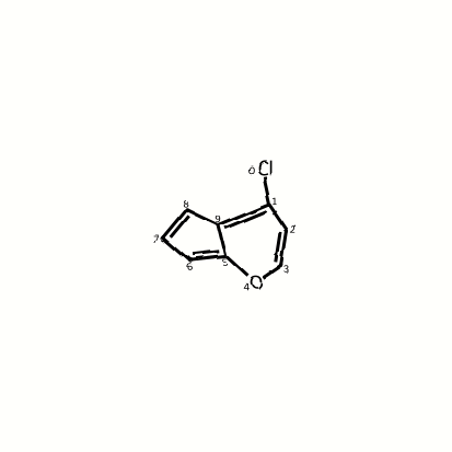 Clc1ccoc2cccc1-2